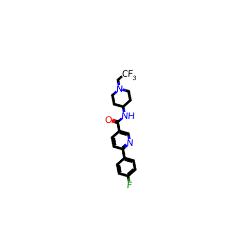 O=C(NC1CCN(CC(F)(F)F)CC1)c1ccc(-c2ccc(F)cc2)nc1